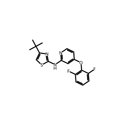 CC(C)(C)c1csc(Nc2cc(Oc3c(F)cccc3F)ccn2)n1